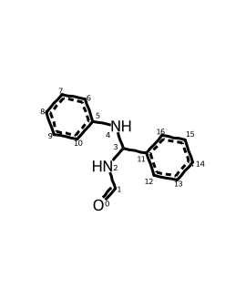 O=CNC(Nc1ccccc1)c1cc[c]cc1